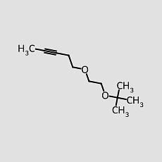 CC#CCCOCCOC(C)(C)C